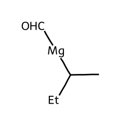 CC[CH](C)[Mg][CH]=O